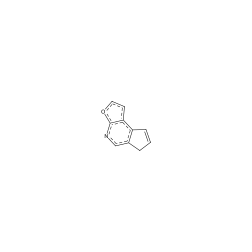 C1=Cc2c(cnc3occc23)C1